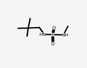 CNS(=O)(=O)NCC(C)(C)C